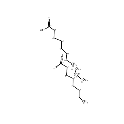 CCCCCCCC(=O)[O-].CCCCCCCC(=O)[O-].CCCCCCC[CH2][Sn+2][CH2]CCCCCCC